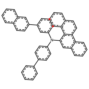 c1ccc(-c2ccc(N(c3cccc(-c4ccc5ccccc5c4)c3)c3cc4ccccc4c4ccc5ccccc5c34)cc2)cc1